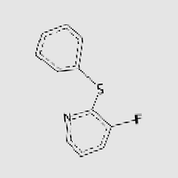 Fc1cccnc1Sc1ccccc1